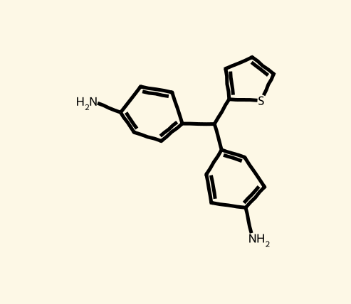 Nc1ccc(C(c2ccc(N)cc2)c2cccs2)cc1